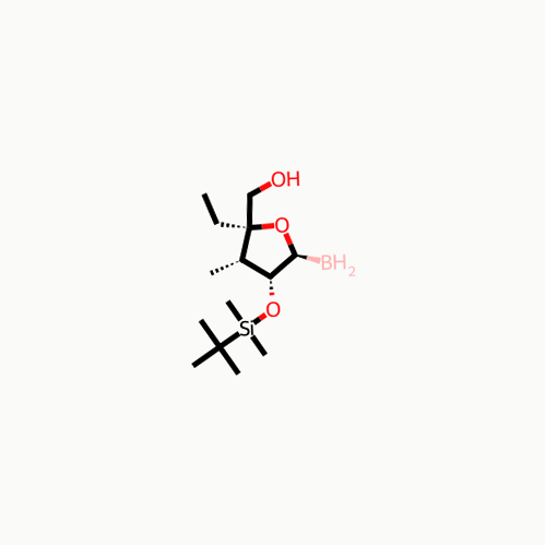 B[C@@H]1O[C@](CC)(CO)[C@@H](C)[C@H]1O[Si](C)(C)C(C)(C)C